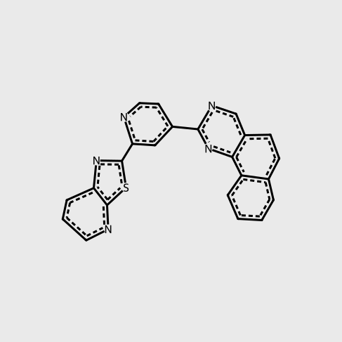 c1ccc2c(c1)ccc1cnc(-c3ccnc(-c4nc5cccnc5s4)c3)nc12